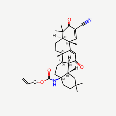 C=CCOC(=O)N[C@]12CCC(C)(C)C[C@H]1[C@H]1C(=O)C=C3[C@@]4(C)C=C(C#N)C(=O)C(C)(C)[C@@H]4CC[C@@]3(C)[C@]1(C)CC2